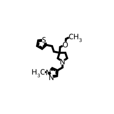 CCOCC1(CCc2cccs2)CCN(Cc2cnn(C)c2)C1